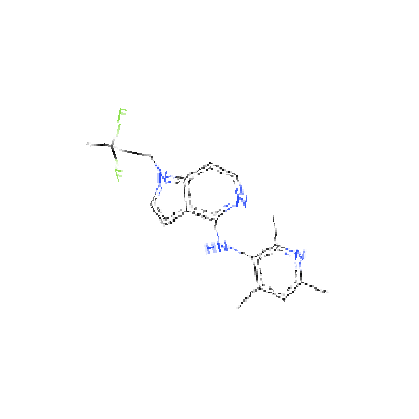 Cc1cc(C)c(Nc2nccc3c2ccn3CC(C)(F)F)c(C)n1